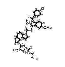 CC[C@@H]1CN(C(=O)NCC(F)(F)F)C[C@@H]1c1cnc2cnc3c(ccn3C(=O)Cc3c(C)n(C(=O)c4ccc(Cl)cc4)c4ccc(OC)cc34)n12